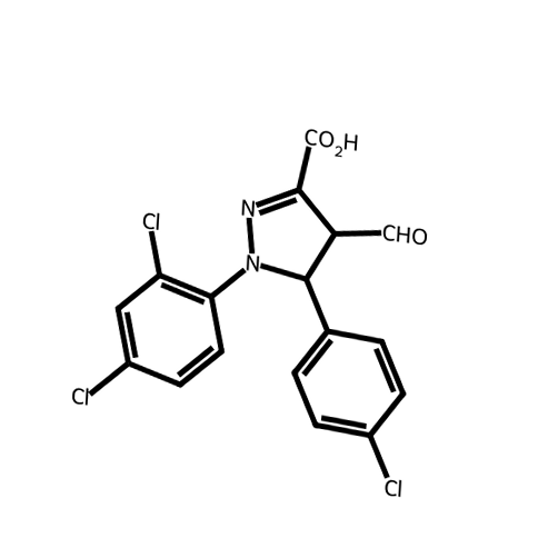 O=CC1C(C(=O)O)=NN(c2ccc(Cl)cc2Cl)C1c1ccc(Cl)cc1